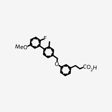 COc1ccc(F)c(-c2ccc(COc3cccc(CCC(=O)O)c3)cc2C)c1